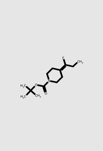 CCC(F)=C1CCN(C(=O)OC(C)(C)C)CC1